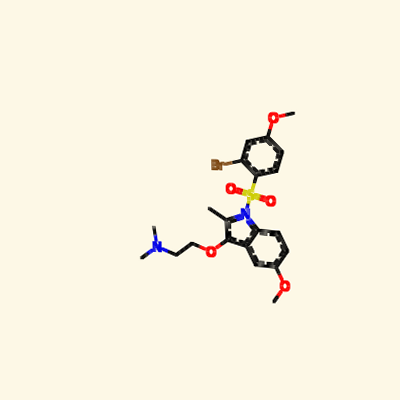 COc1ccc(S(=O)(=O)n2c(C)c(OCCN(C)C)c3cc(OC)ccc32)c(Br)c1